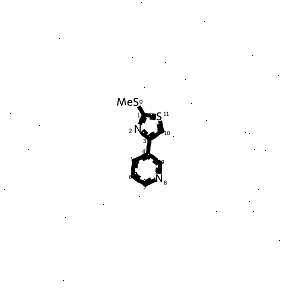 CSc1nc(-c2cccnc2)cs1